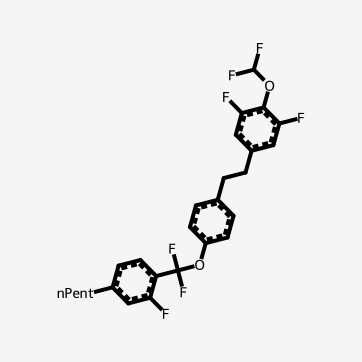 CCCCCc1ccc(C(F)(F)Oc2ccc(CCc3cc(F)c(OC(F)F)c(F)c3)cc2)c(F)c1